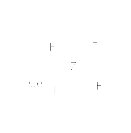 [Ce].[F][Zr]([F])([F])[F]